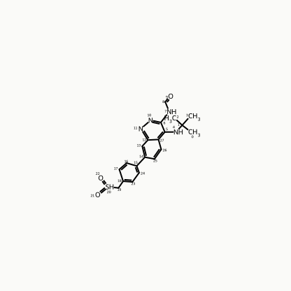 CC(C)(C)Nc1c(NC=O)nnc2cc(-c3ccc(C[SH](=O)=O)cc3)ccc12